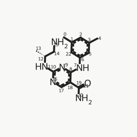 Cc1cc(C)cc(Nc2nc(N[C@H](C)CN)ncc2C(N)=O)c1